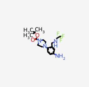 CC(C)(C)OC(=O)N1CCN(c2ccc(N)cc2CNCC(F)(F)F)CC1